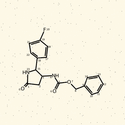 O=C1CC(NC(=O)OCc2ccccc2)C(c2ccc(F)cc2)N1